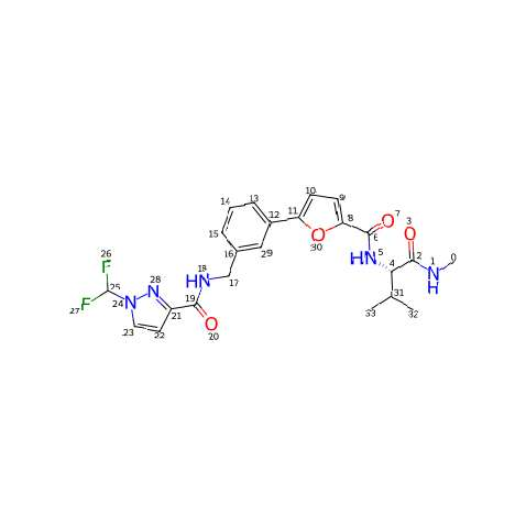 CNC(=O)[C@@H](NC(=O)c1ccc(-c2cccc(CNC(=O)c3ccn(C(F)F)n3)c2)o1)C(C)C